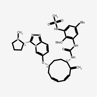 C=C1/C=C\C=C/C[C@H](Oc2ccc3nnc([C@@H]4CCCN4C)n3c2)CC[C@@H]1NC(=O)Nc1cc(C(C)(C)C)cc(NS(C)(=O)=O)c1OC